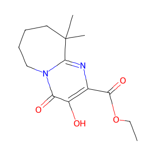 CCOC(=O)c1nc2n(c(=O)c1O)CCCCC2(C)C